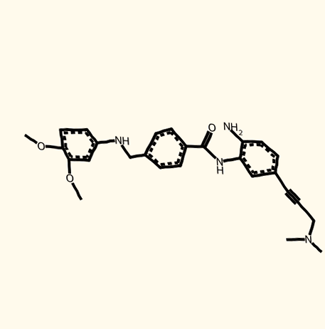 COc1ccc(NCc2ccc(C(=O)Nc3cc(C#CCN(C)C)ccc3N)cc2)cc1OC